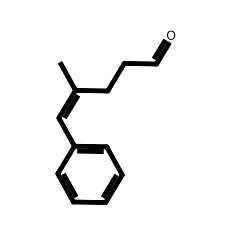 CC(=Cc1ccccc1)CCC=O